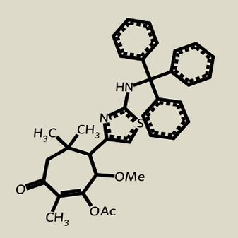 COC1C(OC(C)=O)=C(C)C(=O)CC(C)(C)C1c1csc(NC(c2ccccc2)(c2ccccc2)c2ccccc2)n1